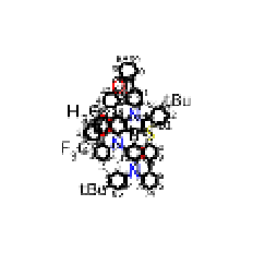 CC(C)(C)c1ccc(N(c2ccc3c(c2)N(c2ccccc2-c2ccccc2)c2cc([Si](C)(c4ccc(C(F)(F)F)cc4)c4ccc(C(F)(F)F)cc4)cc4c2B3c2sc3ccc(C(C)(C)C)cc3c2N4c2ccc3c(c2)oc2ccccc23)c2ccccc2-c2ccccc2)cc1